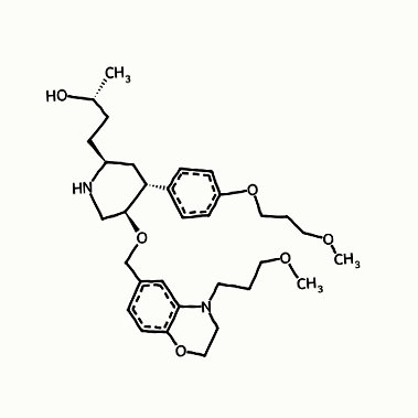 COCCCOc1ccc([C@H]2C[C@H](CC[C@@H](C)O)NC[C@@H]2OCc2ccc3c(c2)N(CCCOC)CCO3)cc1